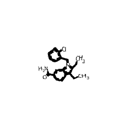 CCc1c(CC)n(Cc2ccccc2Cl)c2cc(C(N)=O)ccc12